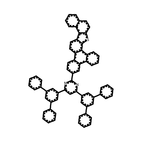 c1ccc(-c2cc(-c3ccccc3)cc(-c3cc(-c4cc(-c5ccccc5)cc(-c5ccccc5)c4)nc(-c4ccc5c(c4)c4ccccc4c4c5ccc5c4sc4ccc6ccccc6c45)n3)c2)cc1